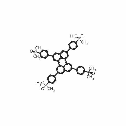 CP(C)(=O)c1ccc(-c2cc3cc(-c4ccc(P(C)(C)=O)cc4)cc4c5cc(-c6ccc(P(C)(C)=O)cc6)cc6cc(-c7ccc(P(C)(C)=O)cc7)cc(c(c2)c34)c65)cc1